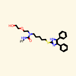 CC(C)NC(=O)N(CCCCCSc1nc(-c2ccccc2)c(-c2ccccc2)[nH]1)CCOCCO